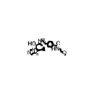 COCCNC(=O)c1ccc(-n2cc(C(O)c3c(C4CC4)sc4cncn34)nn2)cc1